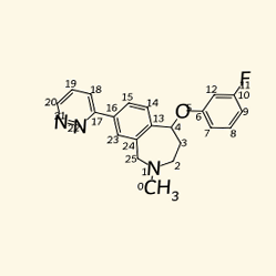 CN1CCC(Oc2cccc(F)c2)c2ccc(-c3cccnn3)cc2C1